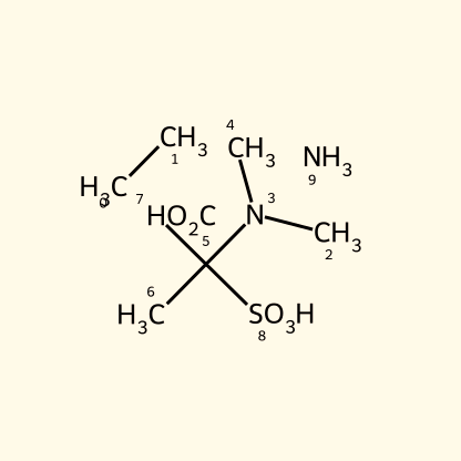 CC.CN(C)C(C)(C(=O)O)S(=O)(=O)O.N